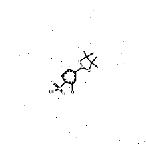 CC1(C)OB(c2ccc(S(N)(=O)=O)c(Cl)c2)OC1(C)C